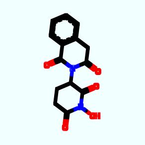 O=C1CCC(N2C(=O)Cc3ccccc3C2=O)C(=O)N1O